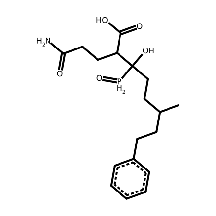 CC(CCc1ccccc1)CCC(O)([PH2]=O)C(CCC(N)=O)C(=O)O